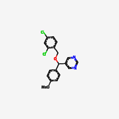 COc1ccc(C(OCc2ccc(Cl)cc2Cl)c2cncnc2)cc1